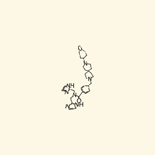 O=C(c1ccc(CN2CCC3(CC2)CCN(C2CCOCC2)CC3)cc1)N(Cc1ncc[nH]1)Cc1ncc[nH]1